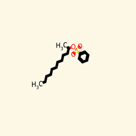 CCCCCCCCCCC(C)OS(=O)(=O)c1ccccc1